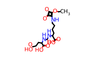 CCOc1c(NCCCCC(NC(=O)NC(CCC(=O)O)C(=O)O)C(=O)O)c(=O)c1=O